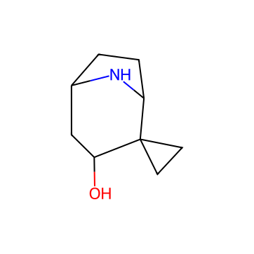 OC1CC2CCC(N2)C12CC2